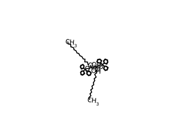 CCCCCCCCCCCCCCCCO[C@H](COC(c1ccccc1)(c1ccccc1)c1ccccc1)[C@@H](O)[C@H](O)[C@@H](COC(c1ccccc1)(c1ccccc1)c1ccccc1)OCCCCCCCCCCCCCCCC